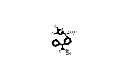 O=C(NO)C(c1ccccc1)c1cccc(N(c2cc(Cl)c(Cl)s2)S(=O)(=O)O)c1